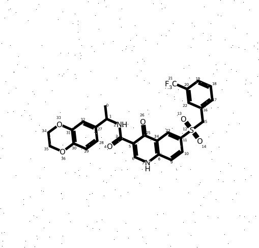 CC(NC(=O)c1c[nH]c2ccc(S(=O)(=O)Cc3cccc(C(F)(F)F)c3)cc2c1=O)c1ccc2c(c1)OCCO2